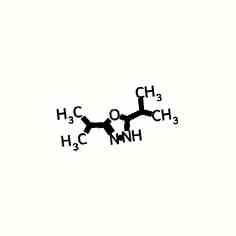 CC(C)C1=NNC(C(C)C)O1